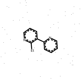 CCc1ncccc1-c1ccccn1